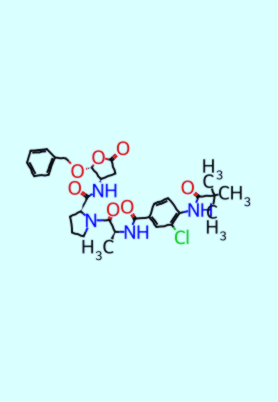 C[C@H](NC(=O)c1ccc(NC(=O)C(C)(C)C)c(Cl)c1)C(=O)N1CCC[C@H]1C(=O)N[C@H]1CC(=O)O[C@H]1OCc1ccccc1